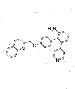 Nc1cccc(-c2ccncc2)c1-c1ccc(OCc2ccc3ccccc3n2)cc1